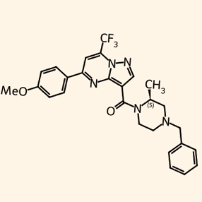 COc1ccc(-c2cc(C(F)(F)F)n3ncc(C(=O)N4CCN(Cc5ccccc5)C[C@@H]4C)c3n2)cc1